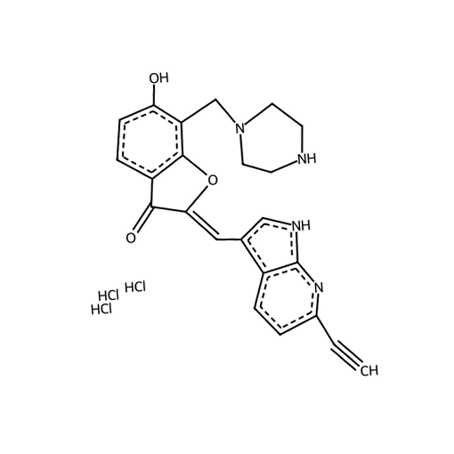 C#Cc1ccc2c(/C=C3\Oc4c(ccc(O)c4CN4CCNCC4)C3=O)c[nH]c2n1.Cl.Cl.Cl